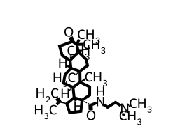 C=C(C)[C@@H]1CC[C@]2(C(=O)NCCN(C)C)CC[C@]3(C)[C@H](CC[C@@H]4[C@@]5(C)CCC(=O)C(C)(C)[C@@H]5CC[C@]43C)[C@@H]12